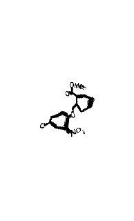 COC(=O)c1ccccc1COc1ccc(Cl)cc1[N+](=O)[O-]